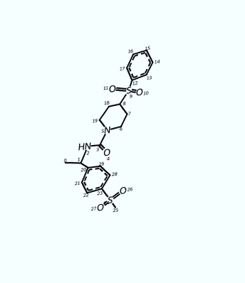 CC(NC(=O)N1CCC(S(=O)(=O)c2ccccc2)CC1)c1ccc(S(C)(=O)=O)cc1